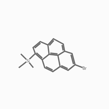 C[Si](C)(C)c1ccc2ccc3cc(Br)cc4ccc1c2c34